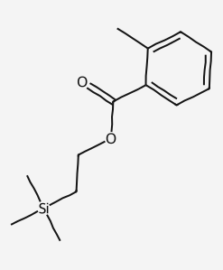 Cc1ccccc1C(=O)OCC[Si](C)(C)C